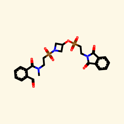 CN(CCS(=O)(=O)N1CC(OS(=O)(=O)CCN2C(=O)c3ccccc3C2=O)C1)C(=O)c1ccccc1C=O